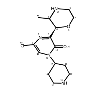 CC1NCCO[C@H]1c1nc(Cl)cn(C2CCNCC2)c1=O